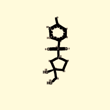 Cc1ccc(S(=O)(=O)N2CC[C@](O)(CO)C2)nn1